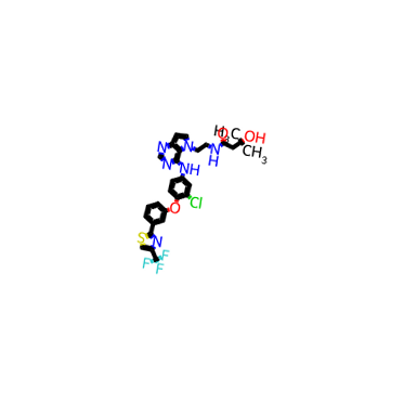 CC(C)(O)CC(=O)NCCn1ccc2ncnc(Nc3ccc(Oc4cccc(-c5nc(C(F)(F)F)cs5)c4)c(Cl)c3)c21